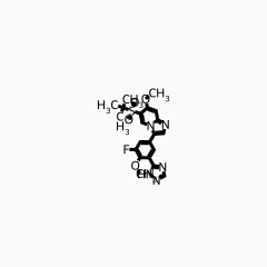 COc1cc2ncc(-c3cc(F)c(OC)c(-c4ncn[nH]4)c3)n2cc1S(=O)(=O)C(C)(C)C